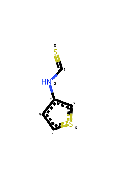 S=[C]Nc1ccsc1